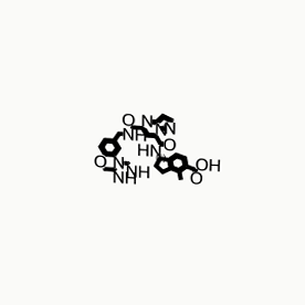 Cc1c(C(=O)O)ccc2c1CC[C@@H]2NC(=O)c1cc(C(=O)NCc2ccc3c(c2)N(C=N)C(=N)CO3)nc2ccnn12